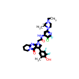 CCN1CCN(c2cc(NC(=O)Cn3cc(-c4cc(C)c(O)c(F)c4F)c4c(=O)n5c(nc43)CCCC5)c(Cl)c(F)n2)[C@@H](C)C1